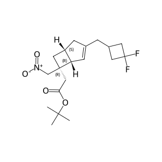 CC(C)(C)OC(=O)C[C@]1(C[N+](=O)[O-])C[C@@H]2CC(CC3CC(F)(F)C3)=C[C@@H]21